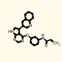 C=CC(=O)Nc1cccc(Oc2ncnc3[nH]cc(-c4cnc5ccccc5c4)c23)c1